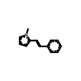 Cn1cccc1C=Cc1ccccc1